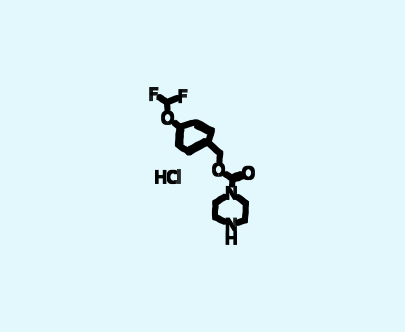 Cl.O=C(OCc1ccc(OC(F)F)cc1)N1CCNCC1